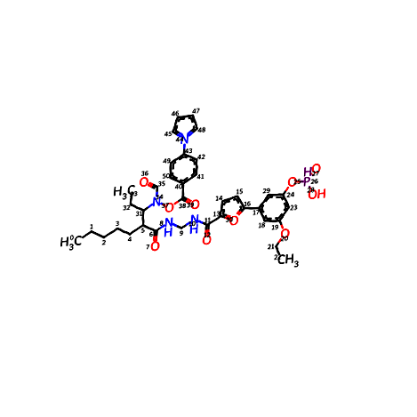 CCCCCC(C(=O)NCNC(=O)c1ccc(-c2cc(OCC)cc(O[PH](=O)O)c2)o1)C(CC)N(C=O)OC(=O)c1ccc(-n2cccc2)cc1